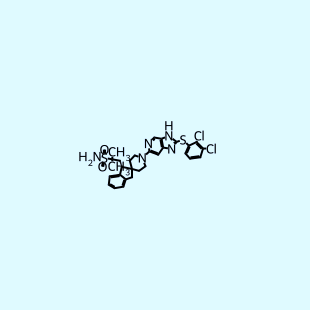 CC(C)(C[C@@H]1c2ccccc2CC12CCN(c1cc3nc(Sc4cccc(Cl)c4Cl)[nH]c3cn1)CC2)S(N)(=O)=O